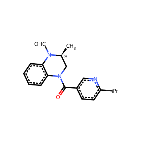 CC(C)c1ccc(C(=O)N2C[C@H](C)N(C=O)c3ccccc32)cn1